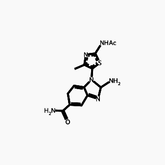 CC(=O)Nc1nc(C)c(N2C3=CCC(C(N)=O)=CC3=NC2N)s1